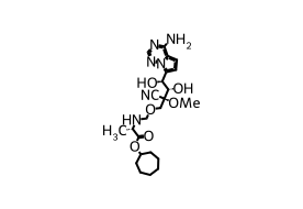 CO[C@](C#N)(COCN[C@@H](C)C(=O)OC1CCCCCC1)[C@@H](O)[C@@H](O)c1ccc2c(N)ncnn12